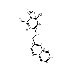 COc1c(Cl)nc(SCc2ccc3ccccc3c2)nc1Cl